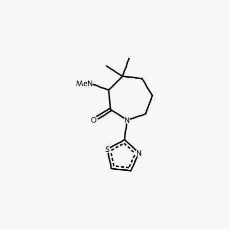 CNC1C(=O)N(c2nccs2)CCCC1(C)C